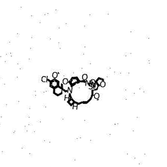 COc1cc2c(cc1Cl)CCC[C@]21COc2ccc3cc2N(C[C@@H]2CC[C@@H]2C/C=C/C[C@H](OC)[C@H](C[C@H]2CCCO2)S(=O)(=O)NC3=O)C1